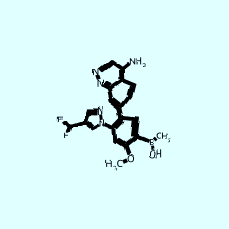 COc1cc(-n2cc(C(F)F)cn2)c(-c2ccc3c(N)cnnc3c2)cc1B(C)O